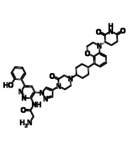 NCC(=O)Nc1nnc(-c2ccccc2O)cc1-n1cc(N2CCN(C3CCC(c4cccc5c4OCCN5[C@H]4CCC(=O)NC4=O)CC3)CC2=O)cn1